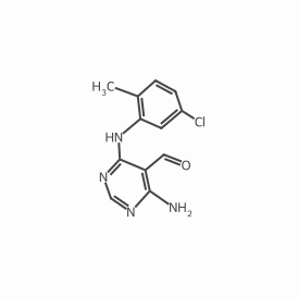 Cc1ccc(Cl)cc1Nc1ncnc(N)c1C=O